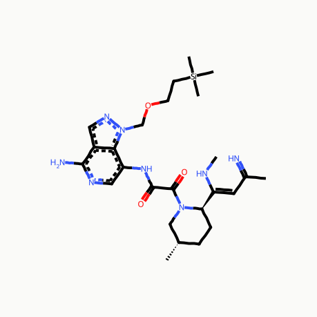 CN/C(=C\C(C)=N)[C@H]1CC[C@H](C)CN1C(=O)C(=O)Nc1cnc(N)c2cnn(COCC[Si](C)(C)C)c12